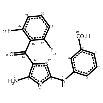 Nc1nc(Nc2cccc(C(=O)O)c2)sc1C(=O)c1c(F)cccc1F